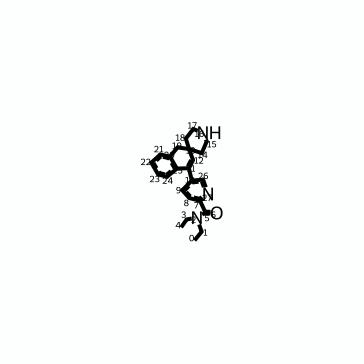 CCN(CC)C(=O)c1ccc(C2=CC3(CCNCC3)Cc3ccccc32)cn1